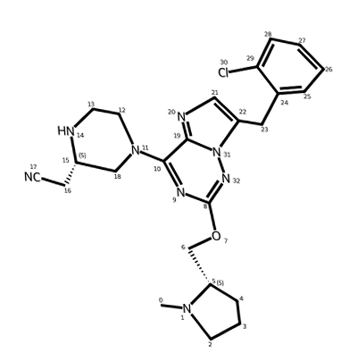 CN1CCC[C@H]1COc1nc(N2CCN[C@@H](CC#N)C2)c2ncc(Cc3ccccc3Cl)n2n1